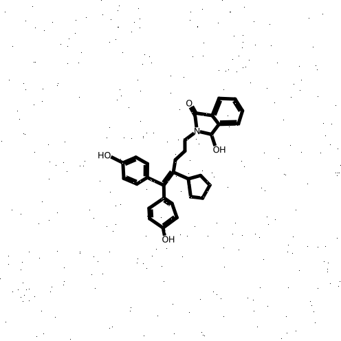 O=C1c2ccccc2C(O)N1CCCC(=C(c1ccc(O)cc1)c1ccc(O)cc1)C1CCCC1